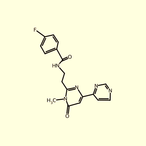 Cn1c(CCNC(=O)c2ccc(F)cc2)nc(-c2ccncn2)cc1=O